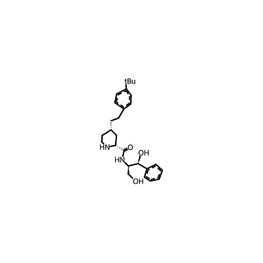 CC(C)(C)c1ccc(CC[C@H]2CCN[C@@H](C(=O)N[C@H](CO)[C@@H](O)c3ccccc3)C2)cc1